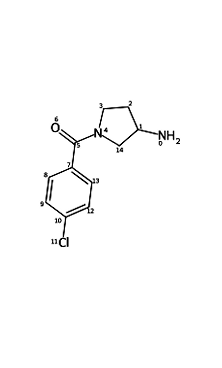 NC1CCN(C(=O)c2ccc(Cl)cc2)C1